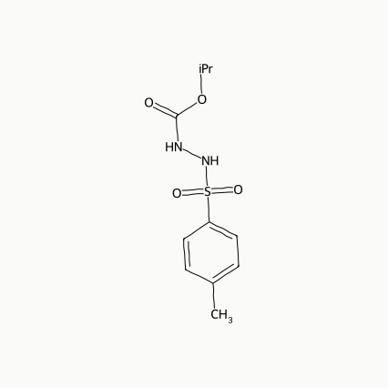 Cc1ccc(S(=O)(=O)NNC(=O)OC(C)C)cc1